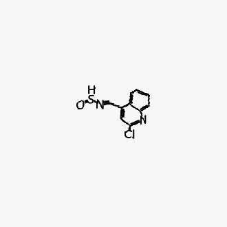 O=[SH]/N=C/c1cc(Cl)nc2ccccc12